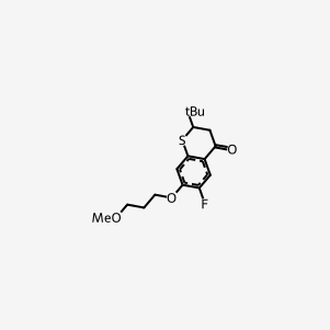 COCCCOc1cc2c(cc1F)C(=O)CC(C(C)(C)C)S2